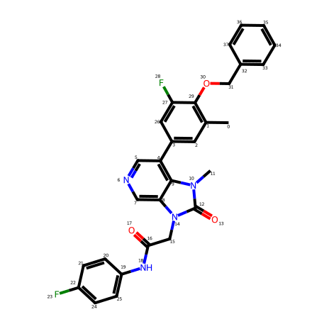 Cc1cc(-c2cncc3c2n(C)c(=O)n3CC(=O)Nc2ccc(F)cc2)cc(F)c1OCc1ccccc1